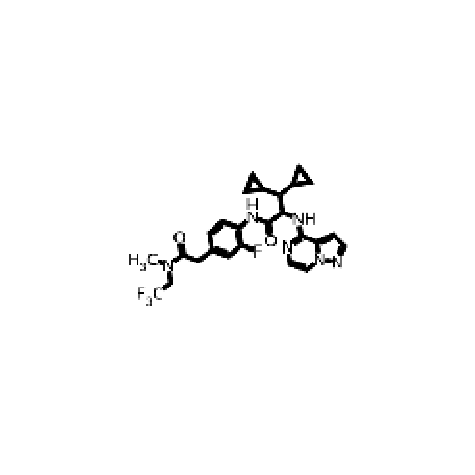 CN(CC(F)(F)F)C(=O)Cc1ccc(NC(=O)C(Nc2nccn3nccc23)C(C2CC2)C2CC2)c(F)c1